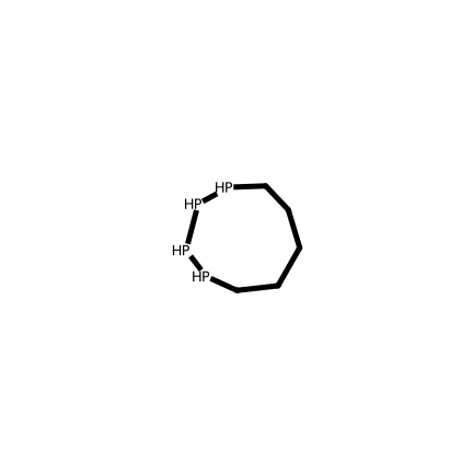 C1CCPPPPCC1